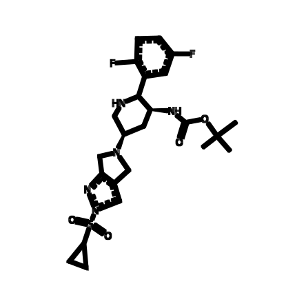 CC(C)(C)OC(=O)N[C@H]1C[C@@H](N2Cc3cn(S(=O)(=O)C4CC4)nc3C2)CNC1c1cc(F)ccc1F